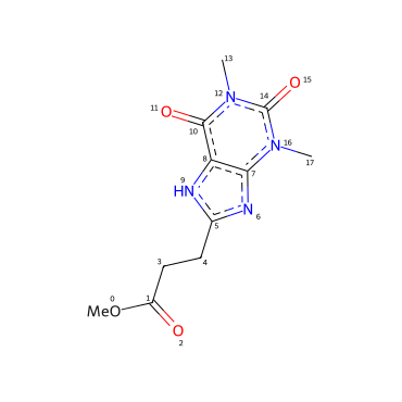 COC(=O)CCc1nc2c([nH]1)c(=O)n(C)c(=O)n2C